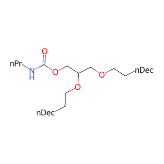 CCCCCCCCCCCCOCC(COC(=O)NCCC)OCCCCCCCCCCCC